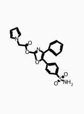 NS(=O)(=O)c1ccc(-c2oc(OC(=O)Cn3cccc3)nc2-c2ccccc2)cc1